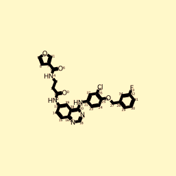 O=C(CCNC(=O)c1ccoc1)Nc1ccc2ncnc(Nc3ccc(OCc4cccc(F)c4)c(Cl)c3)c2c1